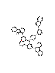 c1ccc(-c2ccc(-c3cc4ccccc4c4ccccc34)cc2N(c2ccc(-c3cccc(-c4ccc5ccccc5c4)c3)cc2)c2cccc(-c3cccc4c3oc3ccccc34)c2)cc1